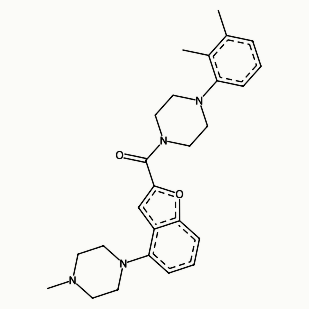 Cc1cccc(N2CCN(C(=O)c3cc4c(N5CCN(C)CC5)cccc4o3)CC2)c1C